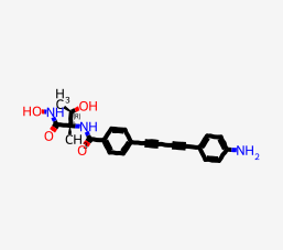 C[C@@H](O)[C@](C)(NC(=O)c1ccc(C#CC#Cc2ccc(N)cc2)cc1)C(=O)NO